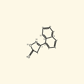 O=C1CC(c2cccc3ccccc23)=NO1